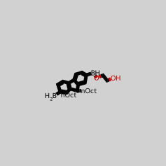 Bc1ccc2c(c1)C(CCCCCCCC)(CCCCCCCC)c1cc(BOCCO)ccc1-2